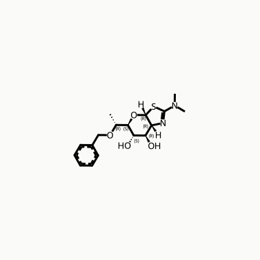 C[C@@H](OCc1ccccc1)[C@H]1O[C@@H]2SC(N(C)C)=N[C@@H]2[C@@H](O)[C@@H]1O